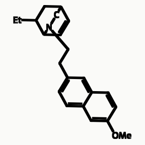 CCC1CC2C=CC1N(CCc1ccc3cc(OC)ccc3c1)C2